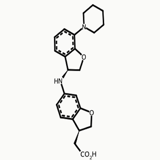 O=C(O)C[C@@H]1COc2cc(N[C@@H]3COc4c3cccc4N3CCCCC3)ccc21